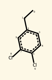 C[C]c1ccc(Cl)c(Cl)c1